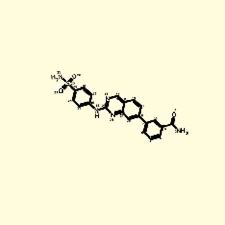 NC(=O)c1cccc(-c2ccc3cnc(Nc4ccc(S(N)(=O)=O)cc4)nc3c2)c1